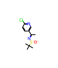 C/C(=N\[S@+]([O-])C(C)(C)C)c1ccc(Cl)nc1